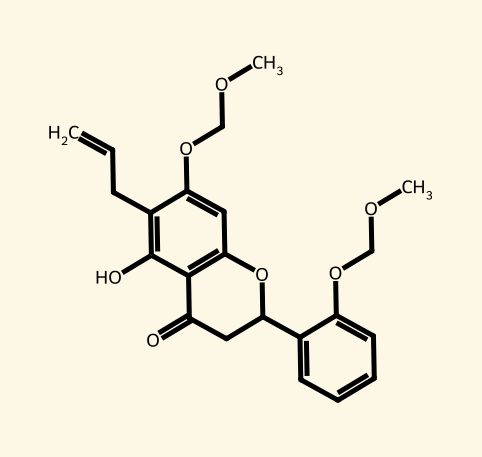 C=CCc1c(OCOC)cc2c(c1O)C(=O)CC(c1ccccc1OCOC)O2